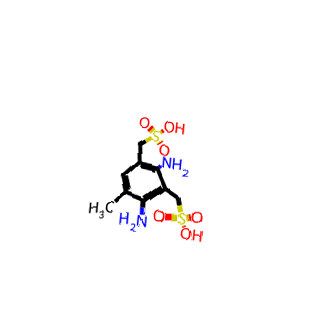 Cc1cc(CS(=O)(=O)O)c(N)c(CS(=O)(=O)O)c1N